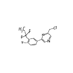 CC(F)(F)c1cc(-c2cncc(CCl)n2)ccc1F